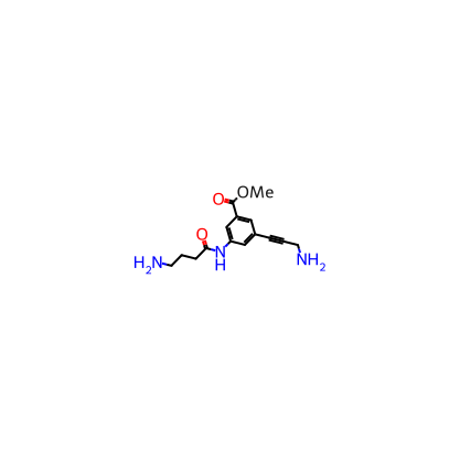 COC(=O)c1cc(C#CCN)cc(NC(=O)CCCN)c1